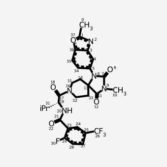 Cc1nc2cc(N3C(=O)N(C)C(=O)C34CCN(C(=O)[C@H](NC(=O)c3cc(C(F)(F)F)ccc3F)C(C)C)CC4)ccc2o1